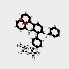 O=P(O)(O)OP(=O)(O)O.c1ccc(Oc2ccc(-c3ccccc3)c(Oc3ccccc3)c2-c2ccccc2)cc1